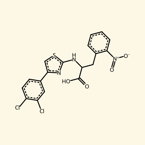 O=C(O)C(Cc1ccccc1[N+](=O)[O-])Nc1nc(-c2ccc(Cl)c(Cl)c2)cs1